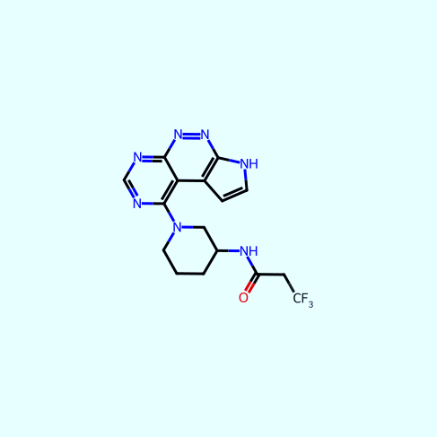 O=C(CC(F)(F)F)NC1CCCN(c2ncnc3nnc4[nH]ccc4c23)C1